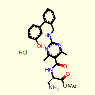 COC(=O)[C@H](CN)NC(=O)c1c(C)nc(NCc2ccccc2-c2cccc(O)c2)nc1C.Cl